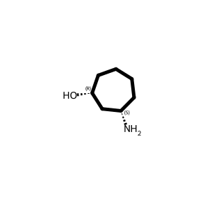 N[C@H]1CCCC[C@@H](O)C1